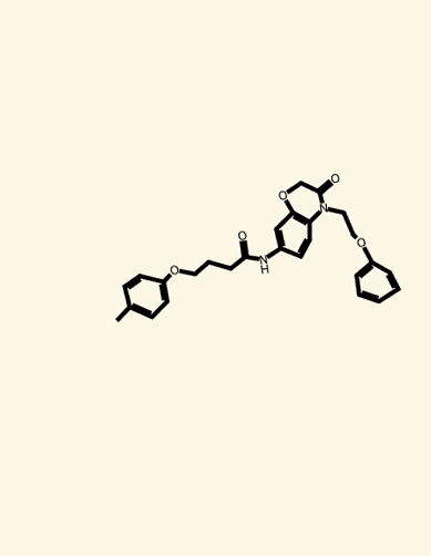 Cc1ccc(OCCCC(=O)Nc2ccc3c(c2)OCC(=O)N3CCOc2ccccc2)cc1